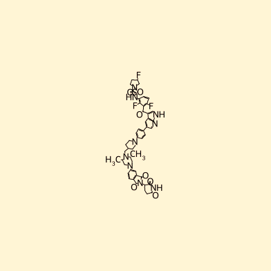 C[C@@H]1CN(c2ccc3c(c2)C(=O)N(C2CCC(=O)NC2=O)C3=O)C[C@@H](C)N1CC1CCN(c2ccc(-c3cnc4[nH]cc(C(=O)c5c(F)ccc(NS(=O)(=O)N6CC[C@@H](F)C6)c5F)c4c3)cc2)CC1